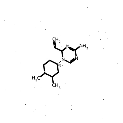 C=CC1N=C(N)N=CN1[C@H]1CCC(C)C(C)C1